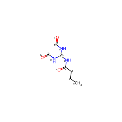 CCCC(=O)[NH][Y]([NH]C=O)[NH]C=O